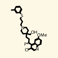 COc1ccc2ncc(Cl)c([C@@H](F)CCC3(CO)CCN(CCCSc4cccc(C)c4)CC3)c2c1